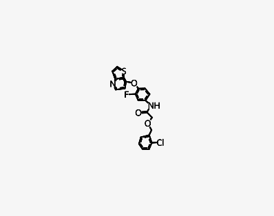 O=C(COCc1ccccc1Cl)Nc1ccc(Oc2ccnc3ccsc23)c(F)c1